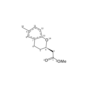 COC(=O)C[C@H]1CCc2cc(C)ccc2O1